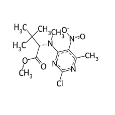 COC(=O)[C@@H](N(C)c1nc(Cl)nc(C)c1[N+](=O)[O-])C(C)(C)C